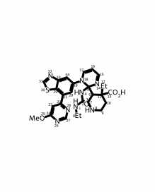 CCNC(=O)NC1(C2CNCCC2(CC)C(=O)O)N=CC=CN1c1cc(-c2cc(OC)ncn2)c2scnc2c1